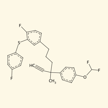 C#CC(C)(CCCc1ccc(F)c(Sc2ccc(F)cc2)c1)c1ccc(OC(F)F)cc1